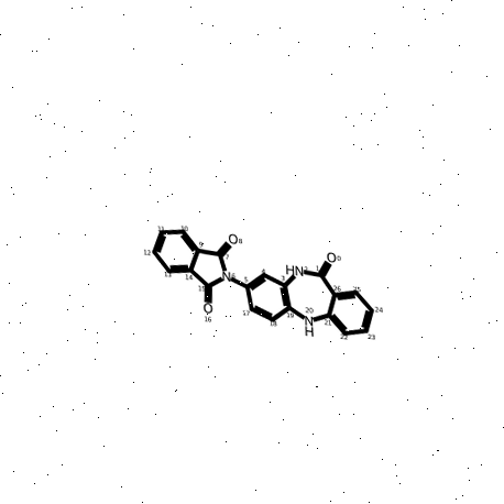 O=C1Nc2cc(N3C(=O)c4ccccc4C3=O)ccc2Nc2ccccc21